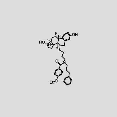 CCOc1ccc(C(=O)N(CCCC[C@@H]2Cc3cc(O)ccc3[C@@H]3[C@@H]2[C@@H]2CC[C@H](O)[C@@]2(C)C[C@@H]3F)CCCc2ccccc2)cc1